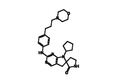 O=C1NCCC12Cc1cnc(Nc3ccc(CCCN4CCOCC4)cc3)nc1N2C1CCCC1